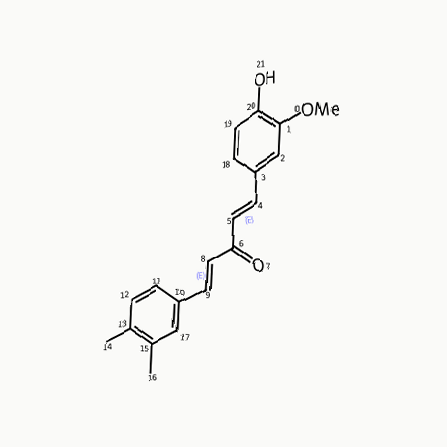 COc1cc(/C=C/C(=O)/C=C/c2ccc(C)c(C)c2)ccc1O